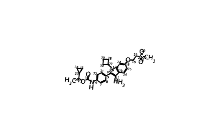 C[C@@H](OC(=O)Nc1ccc(-c2c(N)c3ccc(OCCS(C)(=O)=O)cc3n2C2CCC2)cc1)C1CC1